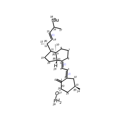 C=C1/C(=C\C=C2/CCC[C@]3(C)C([C@H](C)/C=C/C(C)C(C)(C)C)CC[C@@H]23)C[C@@H](C)C[C@@H]1OP